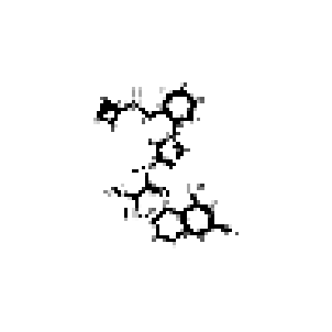 CCCC(N[C@H]1CCc2cc(F)cc(F)c2C1)C(=O)Nc1cn(-c2ccccc2CNC23CC(C2)C3)cn1